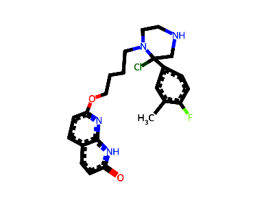 Cc1cc(C2(Cl)CNCCN2CCCCOc2ccc3ccc(=O)[nH]c3n2)ccc1F